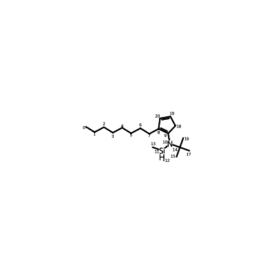 CCCCCCCCC1=C(N([SiH](C)C)C(C)(C)C)CC=C1